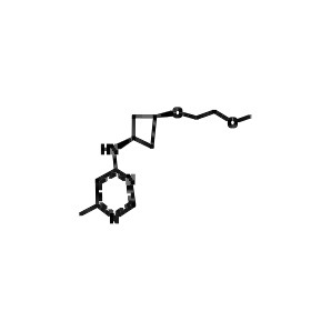 COCCO[C@H]1C[C@@H](Nc2cc(C)ncn2)C1